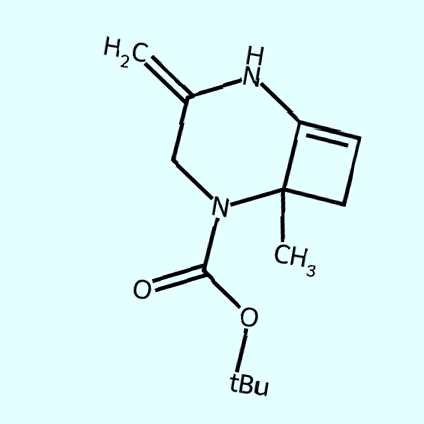 C=C1CN(C(=O)OC(C)(C)C)C2(C)CC=C2N1